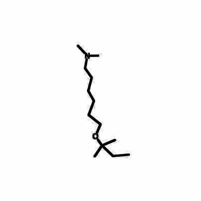 CCC(C)(C)OCCCCCCN(C)C